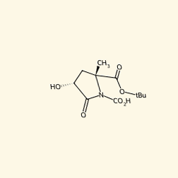 CC(C)(C)OC(=O)[C@@]1(C)C[C@@H](O)C(=O)N1C(=O)O